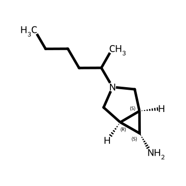 CCCCC(C)N1C[C@@H]2[C@@H](N)[C@@H]2C1